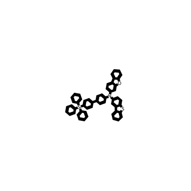 c1ccc([Si](c2ccccc2)(c2ccccc2)c2ccc(-c3ccc(N(c4ccc5c(c4)oc4ccccc45)c4ccc5sc6ccccc6c5c4)cc3)cc2)cc1